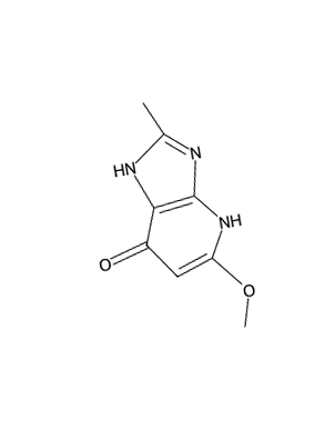 COc1cc(=O)c2[nH]c(C)nc2[nH]1